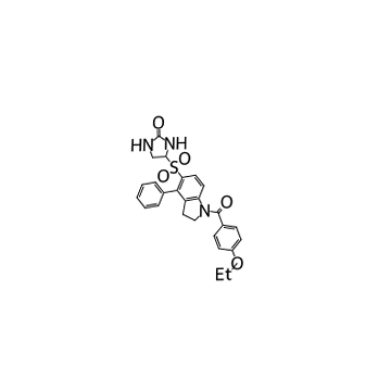 CCOc1ccc(C(=O)N2CCc3c2ccc(S(=O)(=O)C2CNC(=O)N2)c3-c2ccccc2)cc1